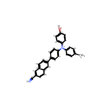 Cc1ccc(N(c2ccc(Br)cc2)c2ccc(-c3ccc4cc(C#N)ccc4c3)cc2)cc1